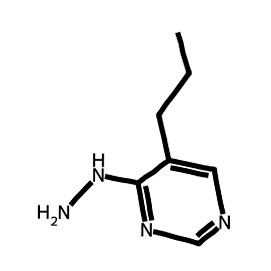 CCCc1cncnc1NN